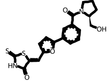 O=C1NC(=S)S/C1=C\c1ccc(-c2cccc(C(=O)N3CCC[C@H]3CO)c2)o1